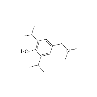 CC(C)c1cc(CN(C)C)cc(C(C)C)c1O